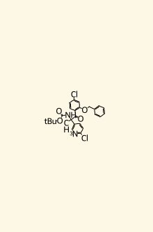 CC(C)(C)OC(=O)NC(C)(C(=O)c1ccc(Cl)cc1OCc1ccccc1)c1ccc(Cl)nc1